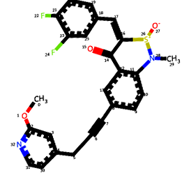 COc1cc(CC#Cc2ccc3c(c2)C(=O)/C(=C\c2ccc(F)c(F)c2)[S+]([O-])N3C)ccn1